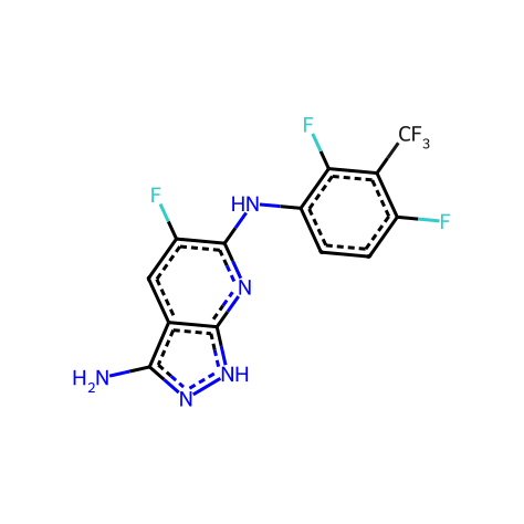 Nc1n[nH]c2nc(Nc3ccc(F)c(C(F)(F)F)c3F)c(F)cc12